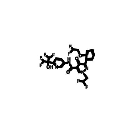 O=C(Nc1ccc(C(O)(C(F)F)C(F)F)nc1)c1cn(CC(F)F)nc(-c2ccccc2OCC(F)F)c1=O